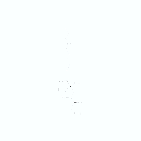 CC(C)(C)OC(=O)C(Br)CC(C)(C)C(=O)OCCOCCOCCCl